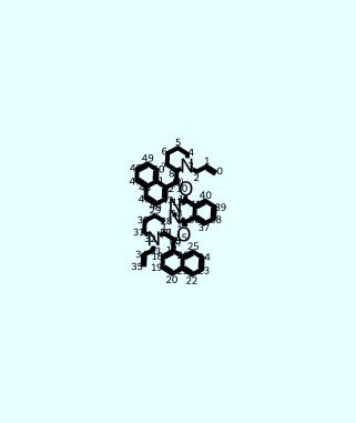 C=CCN1CCCCC1[C@H](Oc1nnc(O[C@H](c2cccc3ccccc23)[C@H]2CCCCN2CC=C)c2ccccc12)c1cccc2ccccc12